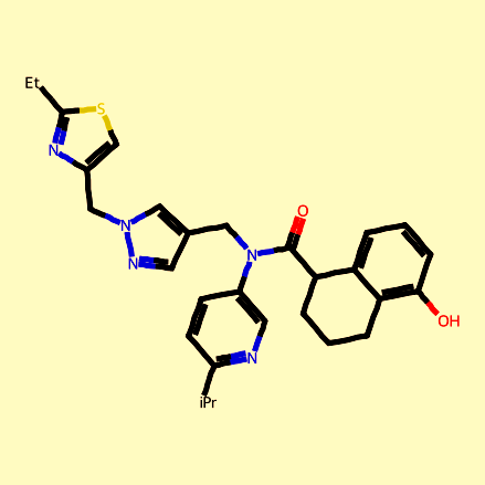 CCc1nc(Cn2cc(CN(C(=O)C3CCCc4c(O)cccc43)c3ccc(C(C)C)nc3)cn2)cs1